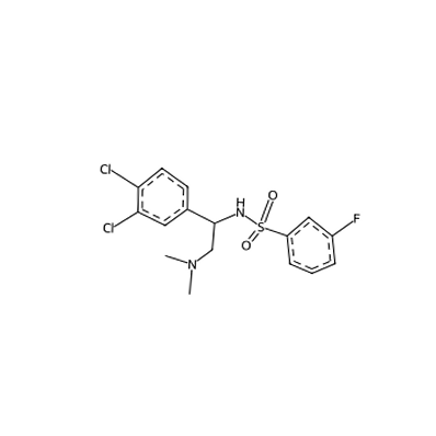 CN(C)CC(NS(=O)(=O)c1cccc(F)c1)c1ccc(Cl)c(Cl)c1